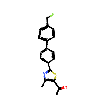 CC(=O)c1sc(-c2ccc(-c3ccc(CF)cc3)cc2)nc1C